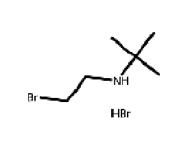 Br.CC(C)(C)NCCBr